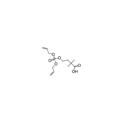 C=CCOP(=O)(OCC=C)OCCC(C)(C)C(=O)O